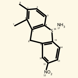 Cc1ccc2c(c1C)Cc1cc([N+](=O)[O-])ccc1S2.N